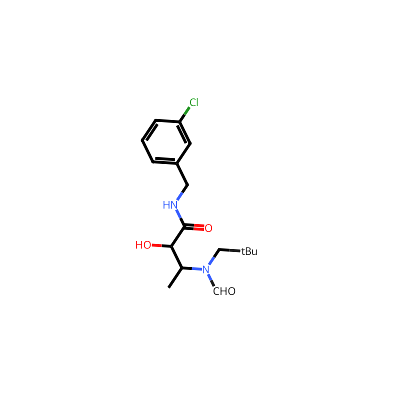 CC(C(O)C(=O)NCc1cccc(Cl)c1)N(C=O)CC(C)(C)C